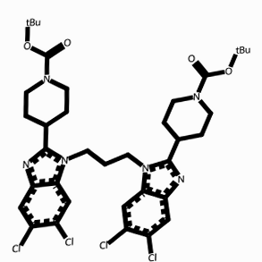 CC(C)(C)OC(=O)N1CCC(c2nc3cc(Cl)c(Cl)cc3n2CCCn2c(C3CCN(C(=O)OC(C)(C)C)CC3)nc3cc(Cl)c(Cl)cc32)CC1